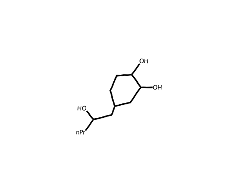 CCCC(O)CC1CCC(O)C(O)C1